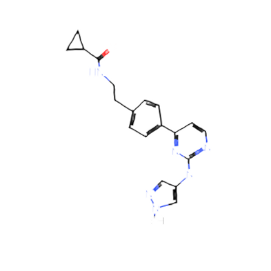 Cn1cc(Nc2nccc(-c3ccc(CCNC(=O)C4CC4)cc3)n2)cn1